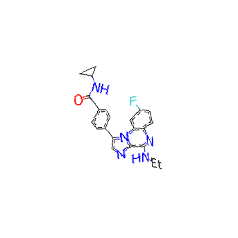 CCNc1nc2ccc(F)cc2n2c(-c3ccc(C(=O)NC4CC4)cc3)cnc12